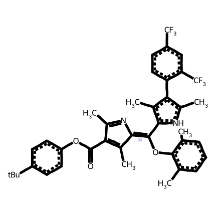 CC1=N/C(=C(/Oc2c(C)cccc2C)c2[nH]c(C)c(-c3ccc(C(F)(F)F)cc3C(F)(F)F)c2C)C(C)=C1C(=O)Oc1ccc(C(C)(C)C)cc1